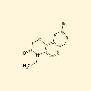 CCN1C(=O)COc2c1cnc1ccc(Br)cc21